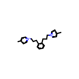 Cc1cc[n+](CCCc2ccccc2CCC[n+]2ccc(C)cc2)cc1